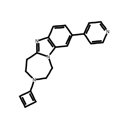 C1=CC(N2CCc3nc4ccc(-c5ccncc5)cc4n3CC2)=C1